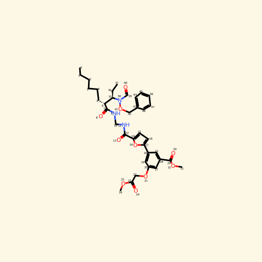 CCCCCC[C@@H](C(=O)NCNC(=O)c1ccc(-c2cc(OCC(=O)OC)cc(C(=O)OC)c2)o1)[C@@H](CC)N(C=O)OCc1ccccc1